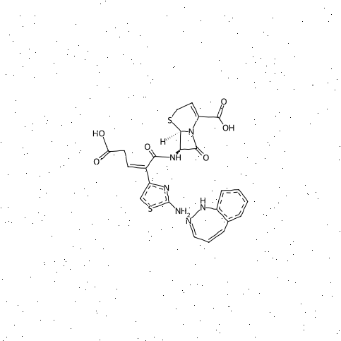 C1=Cc2ccccc2NN=C1.Nc1nc(/C(=C/CC(=O)O)C(=O)N[C@@H]2C(=O)N3C(C(=O)O)=CCS[C@H]23)cs1